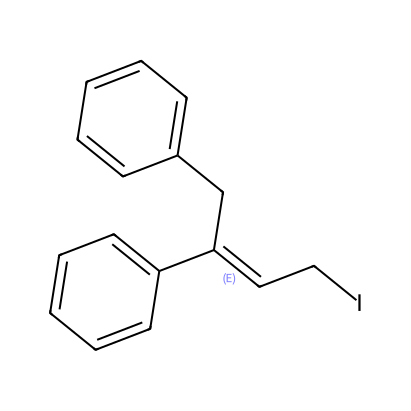 IC/C=C(\Cc1ccccc1)c1ccccc1